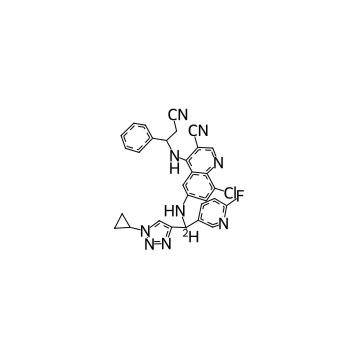 [2H]C(Nc1cc(Cl)c2ncc(C#N)c(NC(CC#N)c3ccccc3)c2c1)(c1ccc(F)nc1)c1cn(C2CC2)nn1